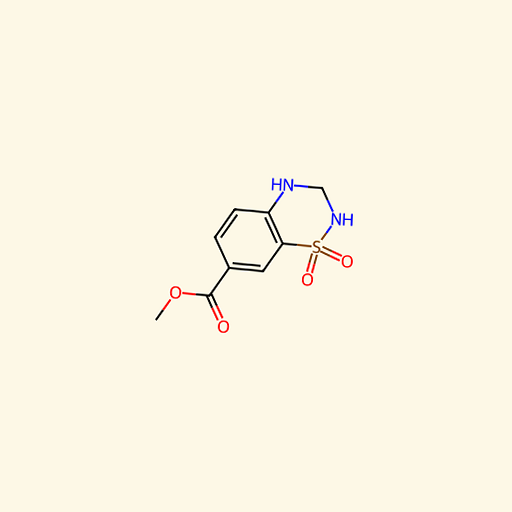 COC(=O)c1ccc2c(c1)S(=O)(=O)NCN2